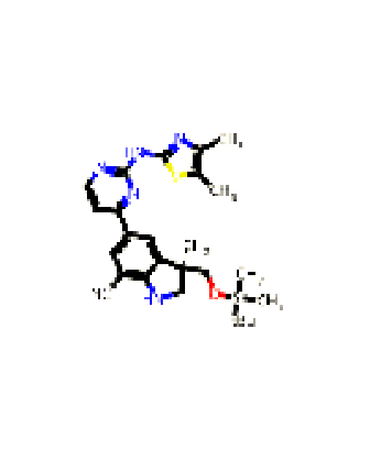 Cc1nc(Nc2nccc(-c3cc(C#N)c4c(c3)[C@@](C)(CO[Si](C)(C)C(C)(C)C)CN4)n2)sc1C